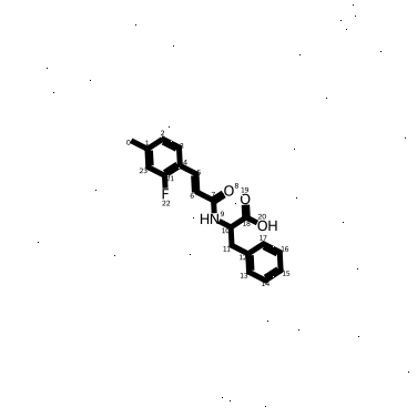 Cc1ccc(C=CC(=O)NC(Cc2ccccc2)C(=O)O)c(F)c1